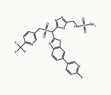 NS(=O)(=O)NCc1nnc(C(c2nc3ccc(-c4ccc(F)nc4)cc3s2)S(=O)(=O)Cc2ccc(C(F)(F)F)nc2)o1